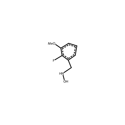 COc1cccc(CNO)c1F